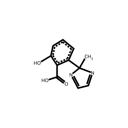 CC1(c2cccc(O)c2C(=O)O)N=CC=N1